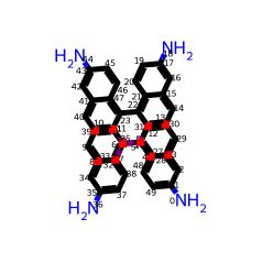 Nc1ccc(P(c2ccccc2)c2ccc3cc(N)ccc3c2-c2c(P(c3ccccc3)c3ccc(N)cc3)ccc3cc(N)ccc23)cc1